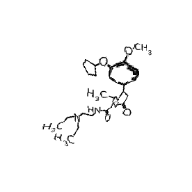 CCN(CC)CCNC(=O)N1C(=O)CC(c2ccc(OC)c(OC3CCCC3)c2)N1C